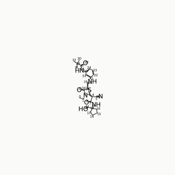 CCn1c(=C(C#N)C(=O)NC2(CO)CCCC2)sc(=CNc2cccc(NC(=O)C(C)(C)C)c2)c1=O